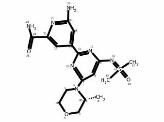 C[C@@H]1COCCN1c1cc(N=S(C)(C)=O)nc(-c2cc(N)nc(C(N)=O)c2)n1